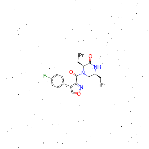 CC(C)C[C@H]1CN(C(=O)c2nocc2-c2ccc(F)cc2)[C@@H](CC(C)C)C(=O)N1